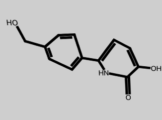 O=c1[nH]c(-c2ccc(CO)cc2)ccc1O